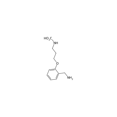 NCc1ccccc1OCCCNC(=O)O